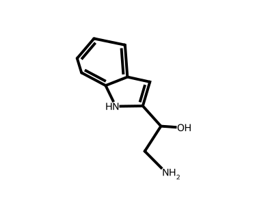 NCC(O)c1cc2ccccc2[nH]1